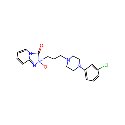 O=C1N2C=CC=CC2=N[N+]1([O-])CCCN1CCN(c2cccc(Cl)c2)CC1